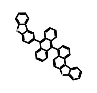 c1ccc2c(c1)sc1ccc(-c3c4ccccc4c(-c4cccc5c4ccc4sc6ccccc6c45)c4ccccc34)cc12